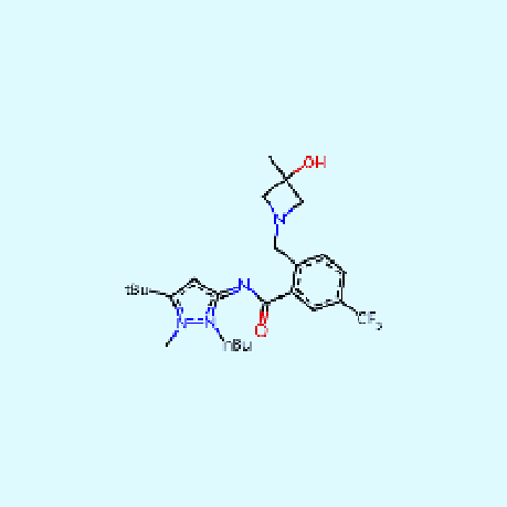 CCCCn1c(=NC(=O)c2cc(C(F)(F)F)ccc2CN2CC(C)(O)C2)cc(C(C)(C)C)n1C